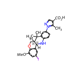 COc1cc(I)cc2c1OC[C@H]1[C@@H]2Nc2ccc(-n3ncc(C(=O)O)c3C)cc2C1(C)C